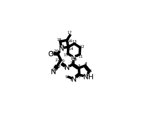 C=N/C(=C1/C=CN/C1=N/C)N1CCCC2(C1)C(C)CN2C(=O)CC#N